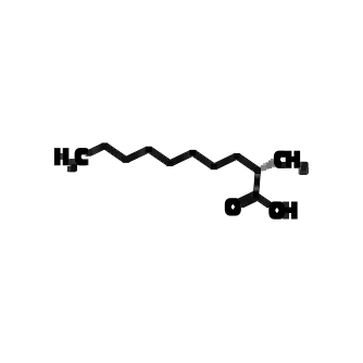 CCCCCCCC[C@H](C)C(=O)O